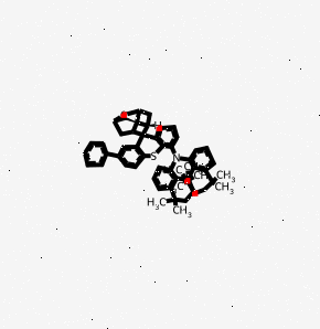 CC1(C)CCC(C)(C)c2c(N(c3cccc4c3Sc3ccc(-c5ccccc5)cc3C43C4CC5CC6C[C@H]3[C@@]64C5)c3cccc4c3C(C)(C)CCC4(C)C)cccc21